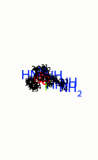 CC(C)C(NC(=O)c1cccc2ccccc12)C(=O)N1CCC[C@H]1C(=O)NC(CCCNC(=N)N)C(=O)CF